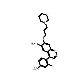 COc1cc2c(-c3ccc([N+](=O)[O-])cc3F)cnnc2cc1OCCCN1CCCCC1